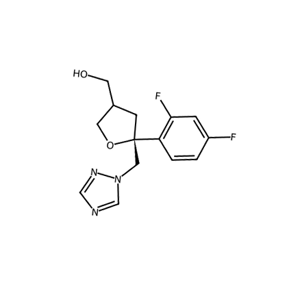 OCC1CO[C@@](Cn2cncn2)(c2ccc(F)cc2F)C1